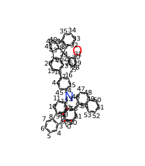 CC1(C)c2ccccc2-c2ccc(N(c3ccc(-c4ccc5c(c4)C4(c6ccccc6Oc6ccccc64)C4C=CC=CC54)cc3)c3ccc4ccccc4c3-c3ccccc3)cc21